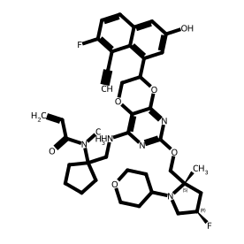 C#Cc1c(F)ccc2cc(O)cc(C3COc4c(NCC5(N(C)C(=O)C=C)CCCC5)nc(OC[C@]5(C)C[C@@H](F)CN5C5CCOCC5)nc4O3)c12